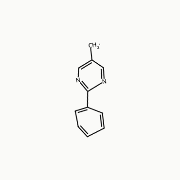 [CH2]c1cnc(-c2ccccc2)nc1